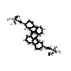 CC(C)[Si](C#Cc1ccc2c3cccc4c3c(c2c1)c1cccc2c3ccc(C#C[Si](C(C)C)(C(C)C)C(C)C)cc3c4c21)(C(C)C)C(C)C